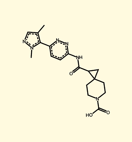 Cc1cnn(C)c1-c1ccc(NC(=O)C2CC23CCN(C(=O)O)CC3)nn1